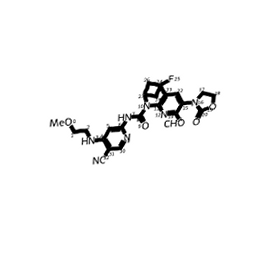 COCCNc1cc(NC(=O)N2c3nc(C=O)c(N4CCOC4=O)cc3C3(F)CC2C3)ncc1C#N